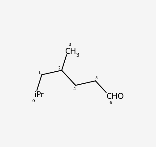 CC(C)CC(C)CCC=O